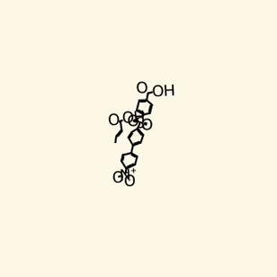 CC=CC(=O)O.O=C(O)c1ccc(S(=O)(=O)c2ccc(-c3ccc([N+](=O)[O-])cc3)cc2)cc1